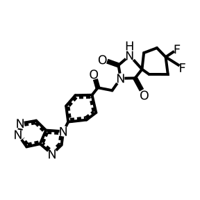 O=C(CN1C(=O)NC2(CCC(F)(F)CC2)C1=O)c1ccc(-n2cnc3cnncc32)cc1